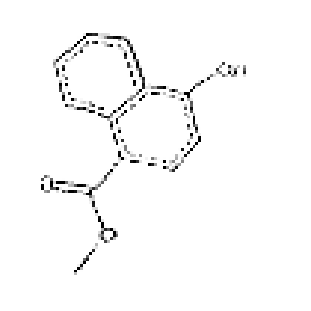 COC(=O)c1ccc(O)c2ccccc12